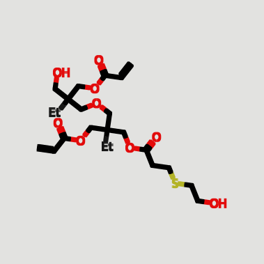 C=CC(=O)OCC(CC)(CO)COCC(CC)(COC(=O)C=C)COC(=O)CCSCCO